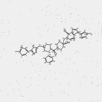 Cc1ccc(-c2ncc(CN3CC[C@@H](C(=O)N4CCC(O)(Cn5cnc6c(ccn6-c6cn(C)cn6)c5=O)CC4)[C@H](c4ccccc4)C3)s2)cn1